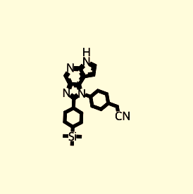 C[Si](C)(C)C1CCC(c2nc3cnc4[nH]ccc4c3n2C2CCC(CC#N)CC2)CC1